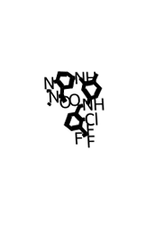 Cc1ccc(NC(=O)c2cccc(C(F)(F)F)c2Cl)cc1Nc1ccc2ncn(C)c(=O)c2c1